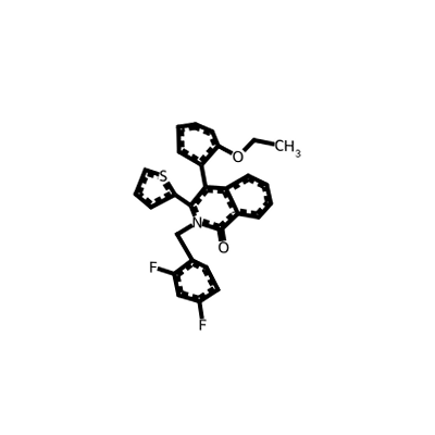 CCOc1ccccc1-c1c(-c2cccs2)n(Cc2ccc(F)cc2F)c(=O)c2ccccc12